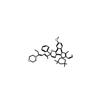 C/C=C\C1=C(C)c2c(c3c(c4cc(OC)ccc24)OC(/C(C)=C/C=C(\CC)N2CCOCC2)(c2ccccc2)C=C3)C12CC(C)(C)CC(C)(C)C2